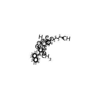 C#CCCCCOc1ccc(-c2sc3c(OC)c(Cc4cccc5ccccc45)cc(=O)n3c2C(=O)O)cc1C